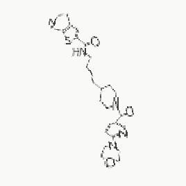 O=C(NCCCCC1CCN(C(=O)c2ccc(N3CCOCC3)nc2)CC1)c1cc2ccncc2s1